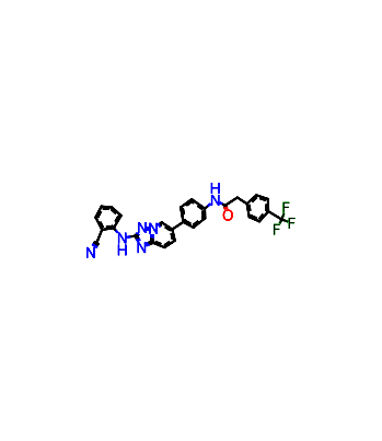 N#Cc1ccccc1Nc1nc2ccc(-c3ccc(NC(=O)Cc4ccc(C(F)(F)F)cc4)cc3)cn2n1